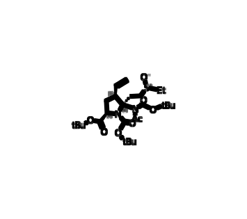 C=C[C@@H]1C[C@H](C(=O)OC(C)(C)C)N(C(=O)OC(C)(C)C)[C@]1(CC[S+]([O-])CC)N(C(C)=O)C(=O)OC(C)(C)C